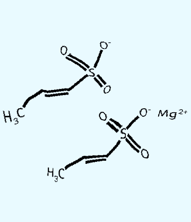 CC=CS(=O)(=O)[O-].CC=CS(=O)(=O)[O-].[Mg+2]